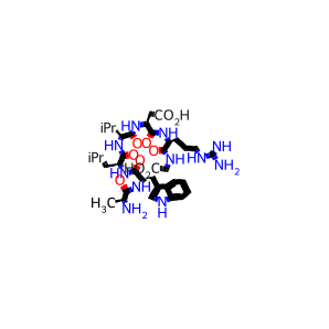 CC(C)C[C@H](NC(=O)[C@H](Cc1c[nH]c2ccccc12)NC(=O)[C@H](C)N)C(=O)N[C@H](C(=O)N[C@@H](CC(=O)O)C(=O)N[C@@H](CCCNC(=N)N)C(=O)NCC(=O)O)C(C)C